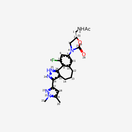 CC(=O)NC[C@H]1CN(c2cc(F)c3c(c2)CCCc2c(-c4cc(C)n(C)n4)n[nH]c2-3)C(=O)O1